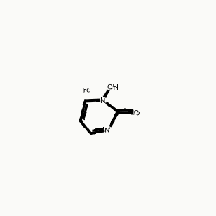 O=c1ncccn1O.[Fe]